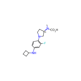 CN(C(=O)O)[C@@H]1CCN(c2ccc(NC3CCC3)cc2F)C1